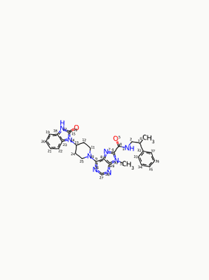 CC(CNC(=O)c1nc2c(N3CCC(n4c(=O)[nH]c5ccccc54)CC3)ncnc2n1C)c1ccccc1